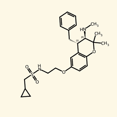 CN[C@@H]1[C@@H](Cc2ccccc2)c2cc(OCCNS(=O)(=O)CC3CC3)ccc2OC1(C)C